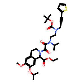 CCOC(=O)C1c2cc(OC(C)C)c(OC)cc2CCN1C(=O)C(=O)N(CCN(CC#Cc1cccs1)C(=O)OC(C)(C)C)C(C)C